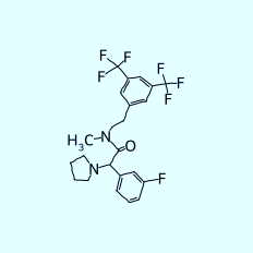 CN(CCc1cc(C(F)(F)F)cc(C(F)(F)F)c1)C(=O)C(c1cccc(F)c1)N1CCCC1